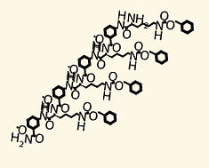 COc1ccc(NC(=O)[C@H](CCCCNC(=O)OCc2ccccc2)NC(=O)c2cc(NC(=O)[C@H](CCCCNC(=O)OCc3ccccc3)NC(=O)c3cc(NC(=O)[C@H](CCCCNC(=O)OCc4ccccc4)NC(=O)c4cc(NC(=O)[C@@H](N)CCCCNC(=O)OCc5ccccc5)ccc4OC)ccc3OC)ccc2OC)cc1C(N)=O